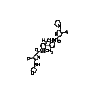 Cc1c(NC(=O)c2cc(C3CC3)c(CNC3CCOCC3)cn2)cccc1-c1cccc(NC(=O)c2cc(C3CC3)c(CN3CCCCC3)cn2)c1C